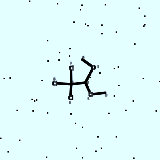 COC(OC)C(Cl)(Cl)Cl